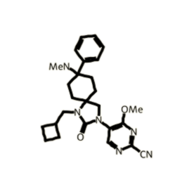 CNC1(c2ccccc2)CCC2(CC1)CN(c1cnc(C#N)nc1OC)C(=O)N2CC1CCC1